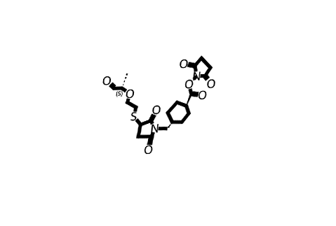 C[C@@H](C=O)OCCSC1CC(=O)N(C[C@H]2CC[C@H](C(=O)ON3C(=O)CCC3=O)CC2)C1=O